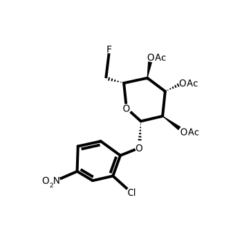 CC(=O)O[C@@H]1[C@@H](OC(C)=O)[C@H](Oc2ccc([N+](=O)[O-])cc2Cl)O[C@H](CF)[C@H]1OC(C)=O